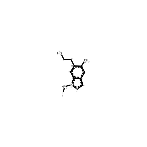 Cc1cc2cnn(PI)c2cc1CCO